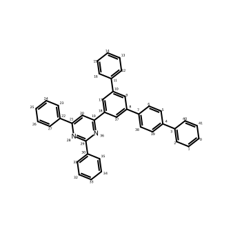 c1ccc(-c2ccc(-c3cc(-c4ccccc4)cc(-c4cc(-c5ccccc5)nc(-c5ccccc5)n4)c3)cc2)cc1